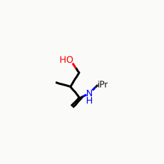 C=C(NC(C)C)C(C)CO